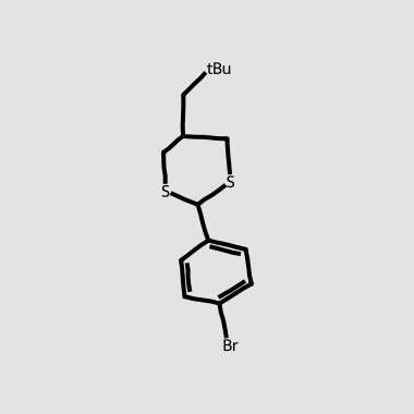 CC(C)(C)CC1CSC(c2ccc(Br)cc2)SC1